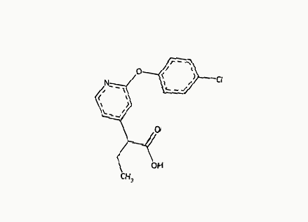 CCC(C(=O)O)c1ccnc(Oc2ccc(Cl)cc2)c1